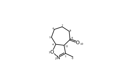 CC1=NOC2CCCCC(=O)C12